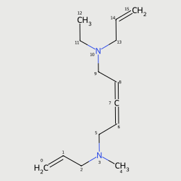 C=CCN(C)CC=C=CCN(CC)CC=C